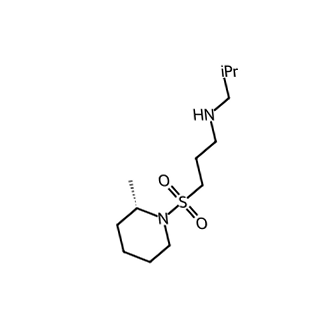 CC(C)CNCCCS(=O)(=O)N1CCCC[C@@H]1C